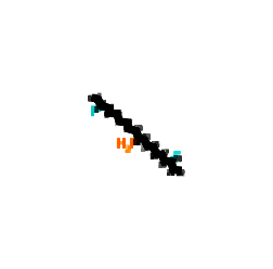 CCC(F)CCCCCCCC(P)CCCCCCC(F)CC